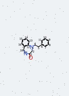 O=C1CN(CCc2ccccc2)c2ccccc2C=N1